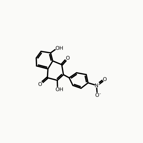 O=C1C(O)=C(c2ccc([N+](=O)[O-])cc2)C(=O)c2c(O)cccc21